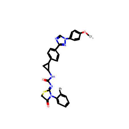 CC(C)c1ccccc1N1C(=O)CS/C1=N\C(=O)NC1CC1c1ccc(-c2ncn(-c3ccc(OC(F)(F)F)cc3)n2)cc1